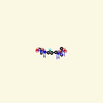 COC(=O)N[C@H](C(=O)N1CCC[C@H]1c1ncc(-c2ccc3c(c2)C(F)(F)c2cc(-c4ccc5nc([C@H]6CCCCN6C(=O)[C@H](NC(=O)OC)c6ccccc6)[nH]c5c4)ccc2-3)[nH]1)C(C)C